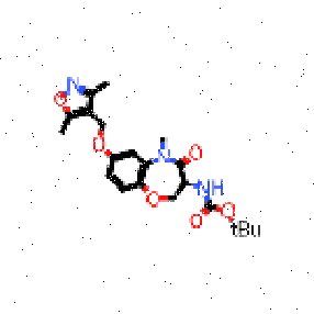 Cc1noc(C)c1COc1ccc2c(c1)N(C)C(=O)[C@@H](NC(=O)OC(C)(C)C)CO2